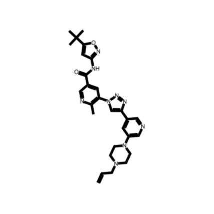 C=CCN1CCN(c2cncc(-c3cn(-c4cc(C(=O)Nc5cc(C(C)(C)C)on5)cnc4C)nn3)c2)CC1